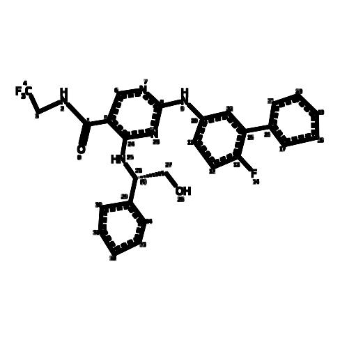 O=C(NCC(F)(F)F)c1cnc(Nc2ccc(F)c(-c3ccccc3)c2)nc1N[C@H](CO)c1ccccc1